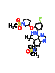 Cc1cc(N=S(C)(C)=O)cc2ncnc(Nc3ccc(F)cc3O[C@@H]3CCCN(S(C)(=O)=O)C3)c12